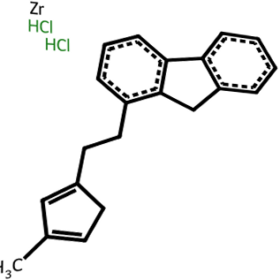 CC1=CCC(CCc2cccc3c2Cc2ccccc2-3)=C1.Cl.Cl.[Zr]